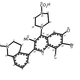 CN1CCc2c(cccc2-c2nc3c(F)c(Br)c(Cl)cc3c(N3CCN(C(=O)O)CC3)c2C#N)C1